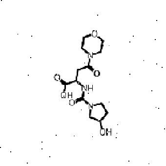 O=C(O)C(CC(=O)N1CCOCC1)NC(=O)N1CCC(O)C1